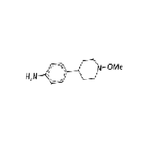 CON1CCC(c2ccc(N)cc2)CC1